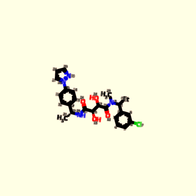 CCC(c1cccc(Cl)c1)N(C)C(=O)C(O)[C@@H](O)C(=O)N[C@H](C)c1ccc(-n2cccn2)cc1